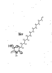 CCCCCCCCCCCCCCCCCC(=O)N(C)[C@@H](C)C(=O)O.[Na]